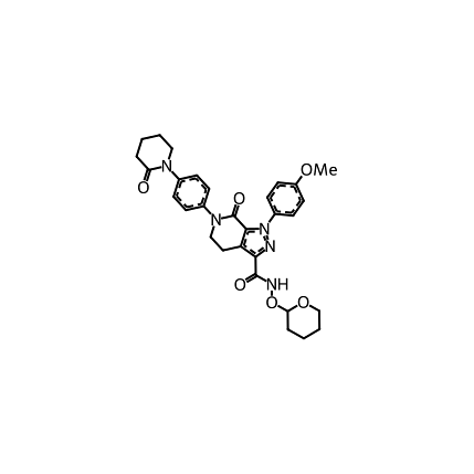 COc1ccc(-n2nc(C(=O)NOC3CCCCO3)c3c2C(=O)N(c2ccc(N4CCCCC4=O)cc2)CC3)cc1